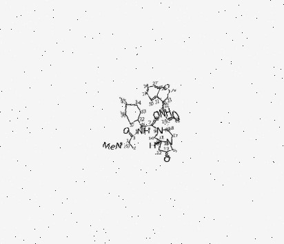 CN[C@@H](C)C(=O)N[C@H](C(=O)N1C[C@H]2CC(=O)CN2C[C@H]1C(=O)N[C@@H]1CCOc2ccccc21)C1CCCCC1